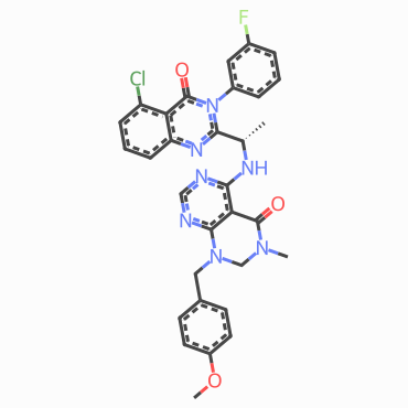 COc1ccc(CN2CN(C)C(=O)c3c(N[C@@H](C)c4nc5cccc(Cl)c5c(=O)n4-c4cccc(F)c4)ncnc32)cc1